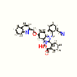 N#Cc1ccccc1Cn1c(C2CCCCC2C(=O)O)nc2cc(OCc3ccc4ccccc4n3)ccc21